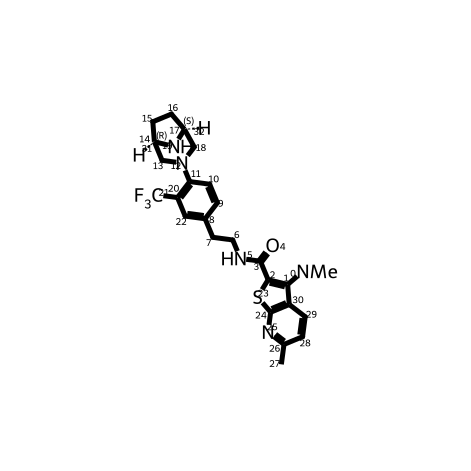 CNc1c(C(=O)NCCc2ccc(N3C[C@H]4CC[C@@H](C3)N4)c(C(F)(F)F)c2)sc2nc(C)ccc12